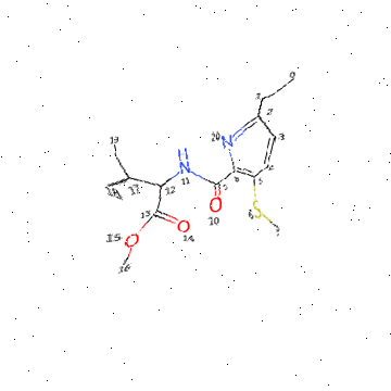 CCc1ccc(SC)c(C(=O)NC(C(=O)OC)C(C)C)n1